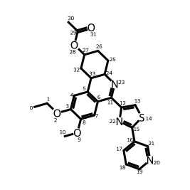 CCOc1cc2c(cc1OC)C(c1csc(-c3cccnc3)n1)=NC1CCC(OC(C)=O)CC21